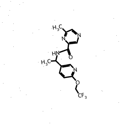 Cc1cncc(C(=O)NC(C)c2ccc(OCC(F)(F)F)nc2)n1